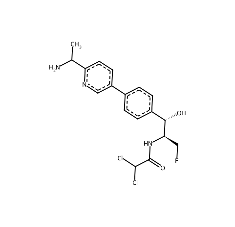 CC(N)c1ccc(-c2ccc([C@H](O)[C@@H](CF)NC(=O)C(Cl)Cl)cc2)cn1